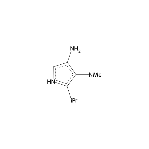 CNc1c(N)c[nH]c1C(C)C